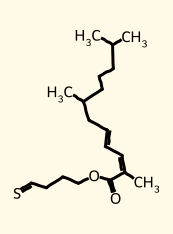 CC(=CC=CCC(C)CCCC(C)C)C(=O)OCCCC=S